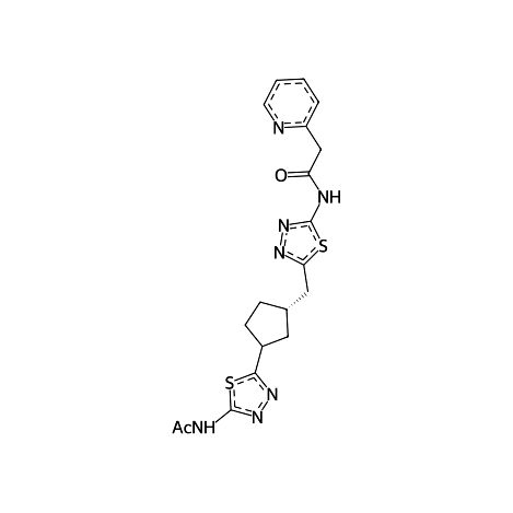 CC(=O)Nc1nnc(C2CC[C@H](Cc3nnc(NC(=O)Cc4ccccn4)s3)C2)s1